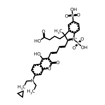 C1CC1.CCN(CC)c1ccc2c(O)c(C=CC=CC3=[N+](S(=O)(=O)O)c4ccc(S(=O)(=O)O)cc4C3(C)CCCC(=O)O)c(=O)oc2c1